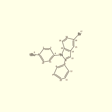 CC(C)(C)c1ccc(-n2c(-c3ccccc3)cc3cc(Br)ccc32)cc1